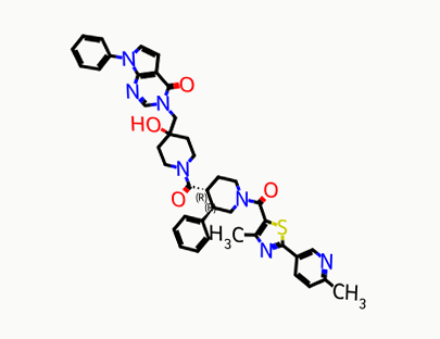 Cc1ccc(-c2nc(C)c(C(=O)N3CC[C@@H](C(=O)N4CCC(O)(Cn5cnc6c(ccn6-c6ccccc6)c5=O)CC4)[C@H](c4ccccc4)C3)s2)cn1